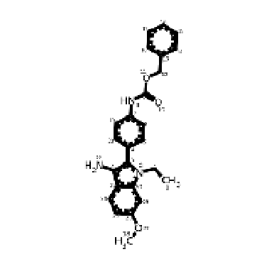 CCn1c(-c2ccc(NC(=O)OCc3ccccc3)cc2)c(N)c2ccc(OC)cc21